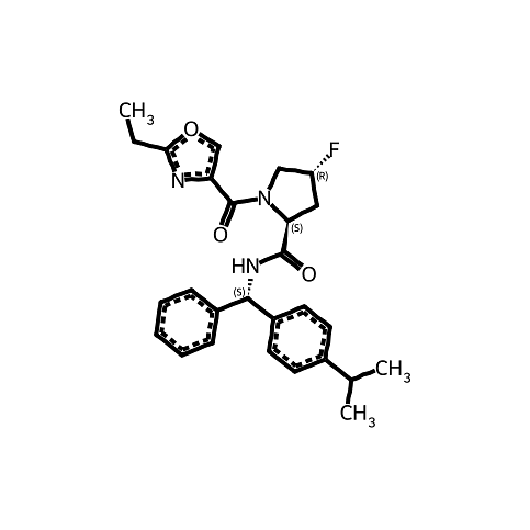 CCc1nc(C(=O)N2C[C@H](F)C[C@H]2C(=O)N[C@@H](c2ccccc2)c2ccc(C(C)C)cc2)co1